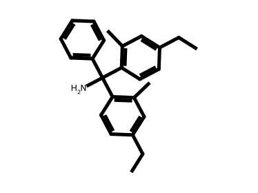 CCc1ccc(C(N)(c2ccccc2)c2ccc(CC)cc2C)c(C)c1